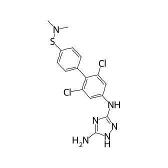 CN(C)Sc1ccc(-c2c(Cl)cc(Nc3n[nH]c(N)n3)cc2Cl)cc1